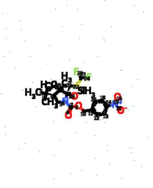 CC(C)(C)[C@H]1CN(C(=O)OCc2ccc([N+](=O)[O-])cc2)[C@](CSC(F)F)(O[SiH3])C1(C)C